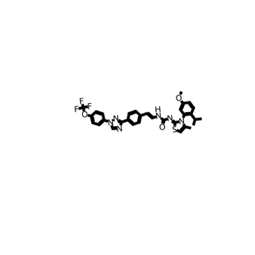 COc1ccc(C(C)C)c(-n2c(C)cs/c2=N\C(=O)N/C=C/c2ccc(-c3ncn(-c4ccc(OC(F)(F)F)cc4)n3)cc2)c1